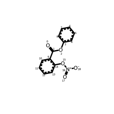 O=C(Oc1ccccc1)c1ccccc1O[N+](=O)[O-]